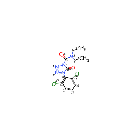 CCN(CC)C(=O)n1nnn(-c2c(Cl)cccc2Cl)c1=O